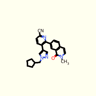 Cn1ccc2ccc(-c3nc(C#N)ccc3-c3cnn(CC4CCCC4)c3)cc2c1=O